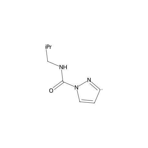 CC(C)CNC(=O)n1cc[c]n1